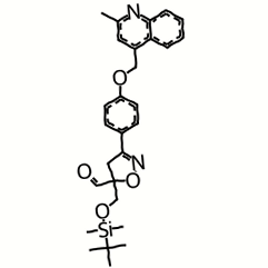 Cc1cc(COc2ccc(C3=NOC(C=O)(CO[Si](C)(C)C(C)(C)C)C3)cc2)c2ccccc2n1